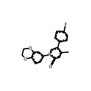 Cc1cc(=O)n(-c2ccc3c(c2)OCCO3)cc1-c1ccc(F)cc1